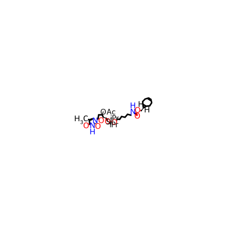 CC(=O)O[C@@H]1C[C@H](n2cc(C)c(=O)[nH]c2=O)O[C@@H]1CO[Si](OCCCCCCNC(=O)OC[C@@H]1[C@@H]2CCC#CCC[C@@H]21)(C(C)C)C(C)C